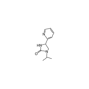 CC(C)N1CC(c2ccccn2)NC1=O